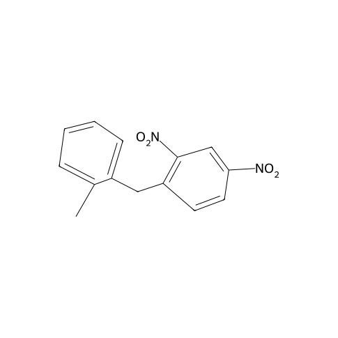 Cc1ccccc1Cc1ccc([N+](=O)[O-])cc1[N+](=O)[O-]